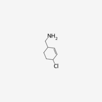 NCC1C=CC(Cl)CC1